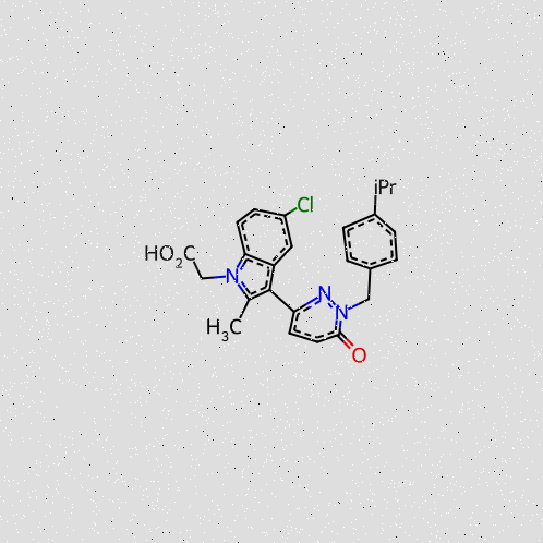 Cc1c(-c2ccc(=O)n(Cc3ccc(C(C)C)cc3)n2)c2cc(Cl)ccc2n1CC(=O)O